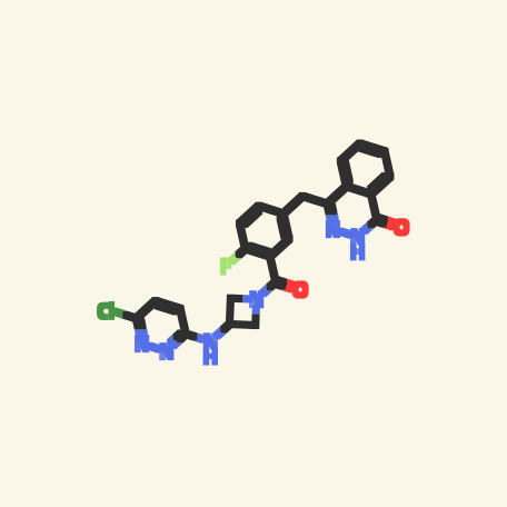 O=C(c1cc(Cc2n[nH]c(=O)c3ccccc23)ccc1F)N1CC(Nc2ccc(Cl)nn2)C1